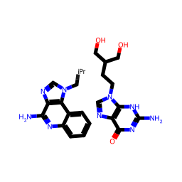 CC(C)Cn1cnc2c(N)nc3ccccc3c21.Nc1nc(=O)c2ncn(CCC(CO)CO)c2[nH]1